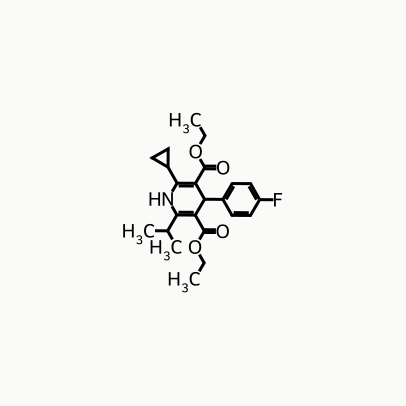 CCOC(=O)C1=C(C(C)C)NC(C2CC2)=C(C(=O)OCC)C1c1ccc(F)cc1